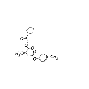 C=C(CC(=O)Oc1ccc(C)cc1)C(=O)OCC(=O)C1CCCC1